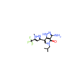 CC(C)Cn1cc(-c2cc(C(F)(F)F)n(C)n2)c2[nH]nc(N)c2c1=O